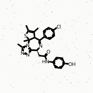 CC1=C(C)C2C(c3ccc(Cl)cc3)=N[C@@H](CC(=O)Nc3ccc(O)cc3)c3nnc(C)n3C2(C)S1